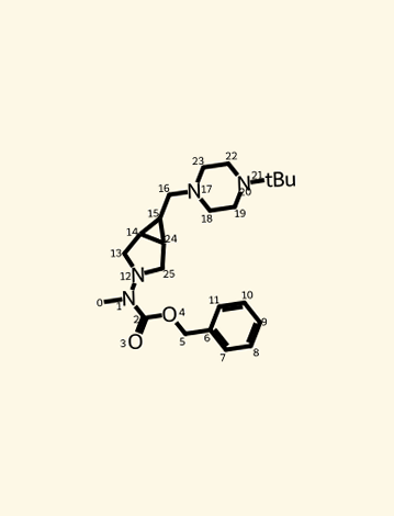 CN(C(=O)OCc1ccccc1)N1CC2C(CN3CCN(C(C)(C)C)CC3)C2C1